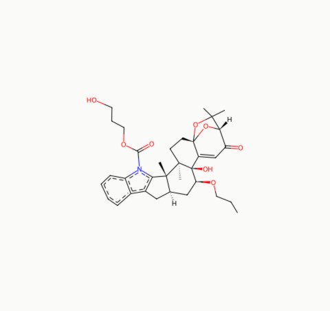 CCCO[C@H]1C[C@H]2Cc3c(n(C(=O)OCCCO)c4ccccc34)[C@]2(C)[C@@]2(C)CC[C@@]34O[C@@H](C(=O)C=C3[C@]12O)C(C)(C)O4